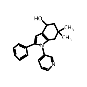 CC1(C)Cc2c(cc(-c3ccccc3)n2-c2cccnc2)C(O)C1